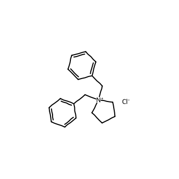 [Cl-].c1ccc(C[N+]2(Cc3ccccc3)CCCC2)cc1